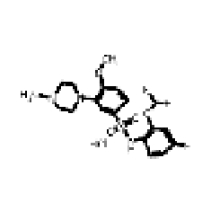 COc1ccc(S(=O)(=O)Nc2ccc(F)cc2OC(F)F)cc1N1CCN(C)CC1.Cl